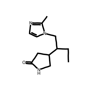 CCC(Cn1ccnc1C)C1CNC(=O)C1